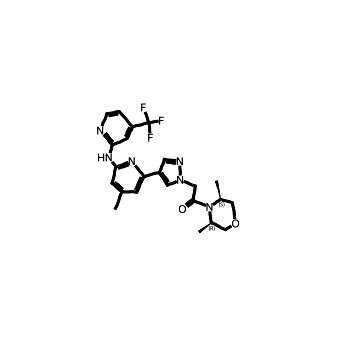 Cc1cc(Nc2cc(C(F)(F)F)ccn2)nc(-c2cnn(CC(=O)N3[C@H](C)COC[C@@H]3C)c2)c1